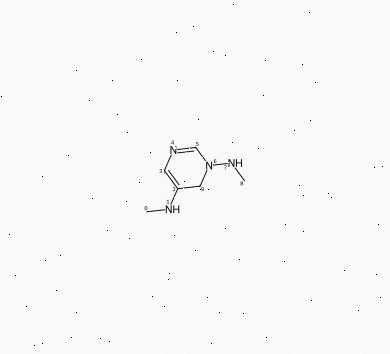 CNC1=[C]N=CN(NC)C1